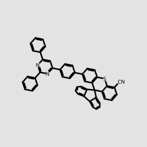 N#Cc1cccc2c1Sc1ccc(-c3ccc(-c4cc(-c5ccccc5)nc(-c5ccccc5)n4)cc3)cc1C21c2ccccc2-c2ccccc21